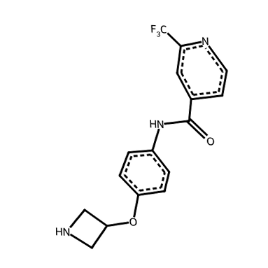 O=C(Nc1ccc(OC2CNC2)cc1)c1ccnc(C(F)(F)F)c1